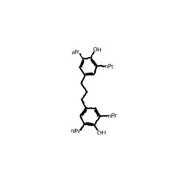 CCCc1cc(CCCc2cc(CCC)c(O)c(CCC)c2)cc(CCC)c1O